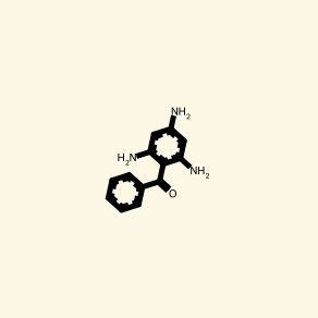 Nc1cc(N)c(C(=O)c2ccccc2)c(N)c1